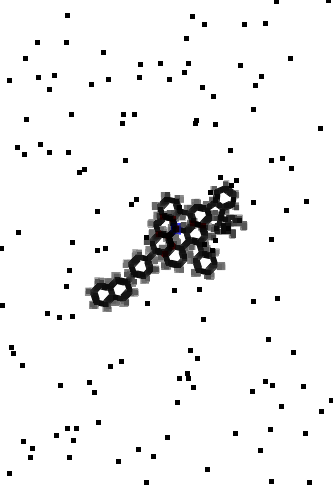 CC1(C)c2ccccc2-c2cc(-c3ccccc3N(c3ccc(-c4ccc(-c5ccc6ccccc6c5)cc4)cc3)c3cccc(-c4ccccc4)c3-c3ccccc3-c3ccccc3)ccc21